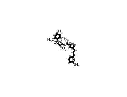 Cc1cc(C)c(S(=O)(=O)NC(CNC(=O)C2=NOC(CCCc3cccc(N)n3)C2)C(=O)O)c(C)c1